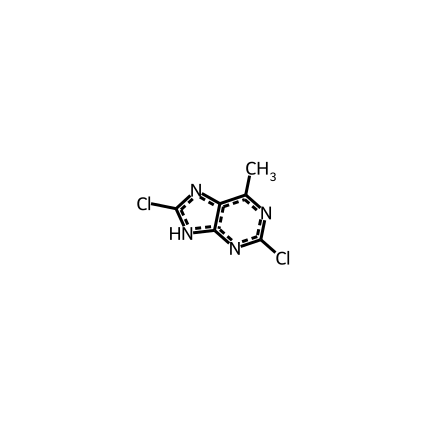 Cc1nc(Cl)nc2[nH]c(Cl)nc12